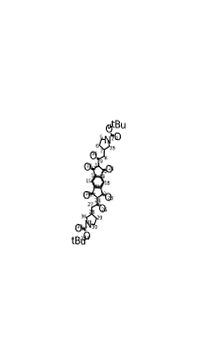 CC(C)(C)OC(=O)N1CCC(CC(=O)C2C(=O)c3cc4c(cc3C2=O)C(=O)C(C(=O)CC2CCN(C(=O)OC(C)(C)C)C2)C4=O)C1